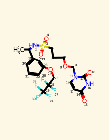 CC(NS(=O)(=O)CCCOCn1ccc(=O)[nH]c1=O)c1cccc(OCC(F)(F)C(F)(F)F)c1